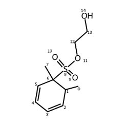 CC1C=CC=CC1(C)S(=O)(=O)OCCO